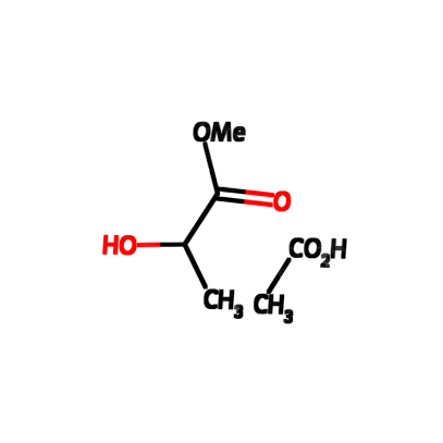 CC(=O)O.COC(=O)C(C)O